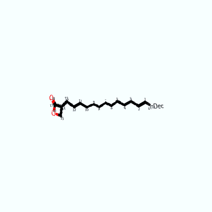 CCCCCCCCCCCCCCCCCCCCCCCC1COC1=O